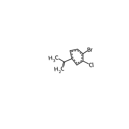 C=C(C)c1ccc(Br)c(Cl)c1